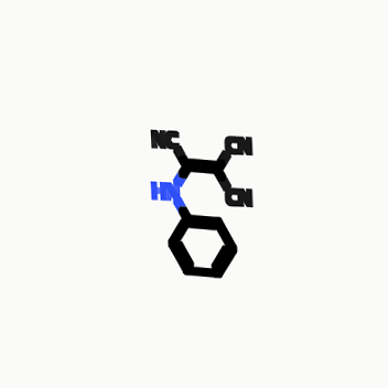 N#CC(C#N)=C(C#N)Nc1ccccc1